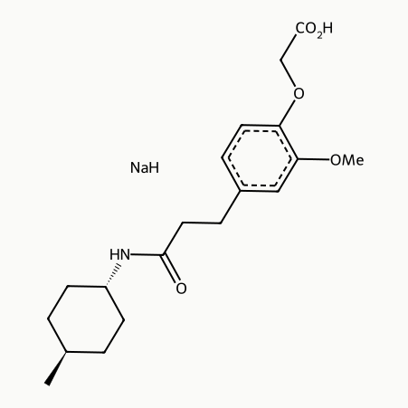 COc1cc(CCC(=O)N[C@H]2CC[C@H](C)CC2)ccc1OCC(=O)O.[NaH]